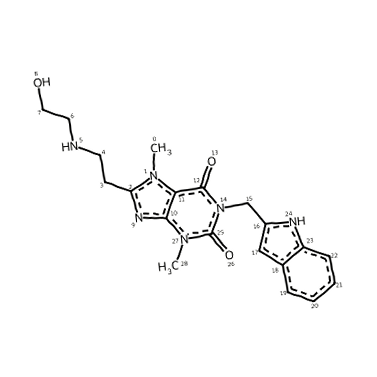 Cn1c(CCNCCO)nc2c1c(=O)n(Cc1cc3ccccc3[nH]1)c(=O)n2C